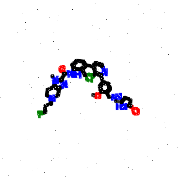 COc1cc(-c2nccc(-c3cccc(NC(=O)c4nc5c(n4C)CCN(CCCF)C5)c3C)c2Cl)ccc1CNC[C@@H]1CCC(=O)N1